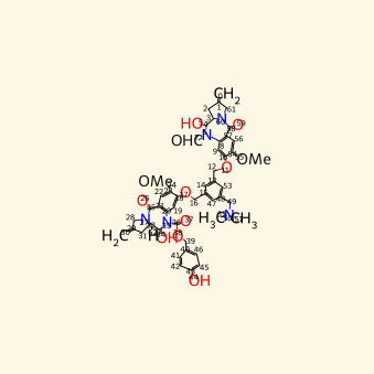 C=C1CC2C(O)N(C=O)c3cc(OCc4cc(COc5cc6c(cc5OC)C(=O)N5CC(=C)C[C@H]5C(O)N6C(=O)OCc5ccc(O)cc5)cc(CN(C)C)c4)c(OC)cc3C(=O)N2C1